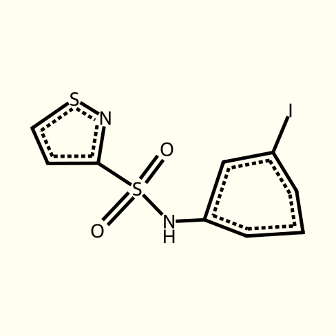 O=S(=O)(Nc1cccc(I)c1)c1ccsn1